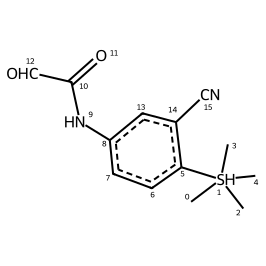 C[SH](C)(C)(C)c1ccc(NC(=O)C=O)cc1C#N